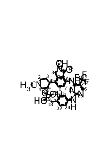 CN1CCC(c2ccc(Nc3nc(Nc4ccc(CP(=O)(O)O)cc4)ncc3C(F)(F)F)c3c2CN(C)C3=O)CC1